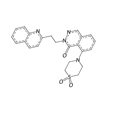 O=c1c2c(N3CCS(=O)(=O)CC3)cccc2cnn1CCc1ccc2ccccc2n1